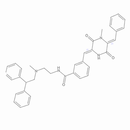 CN(CCNC(=O)c1cccc(/C=c2\[nH]c(=O)/c(=C/c3ccccc3)n(C)c2=O)c1)CC(c1ccccc1)c1ccccc1